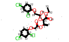 C=C(OC(=O)COc1ccc(Cl)cc1Cl)C(OC(=O)COc1ccc(Cl)cc1Cl)C(=O)OCC